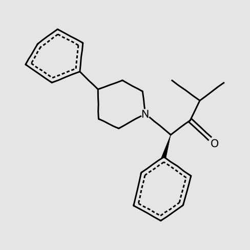 CC(C)C(=O)[C@@H](c1ccccc1)N1CCC(c2ccccc2)CC1